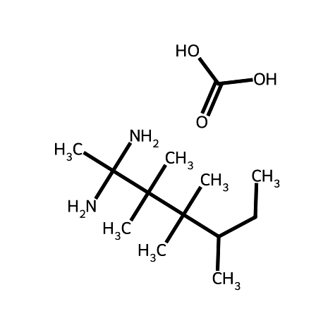 CCC(C)C(C)(C)C(C)(C)C(C)(N)N.O=C(O)O